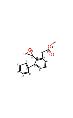 COC(=O)Cc1cccc(-c2ccccc2)c1C1CO1